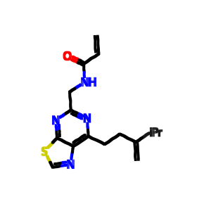 C=CC(=O)NCc1nc(CCC(=C)C(C)C)c2ncsc2n1